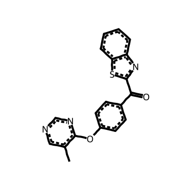 Cc1cncnc1Oc1ccc(C(=O)c2nc3ccccc3s2)cc1